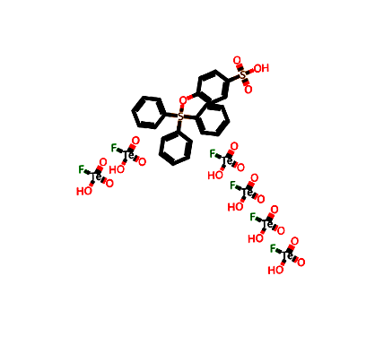 O=S(=O)(O)c1ccc(OS(c2ccccc2)(c2ccccc2)c2ccccc2)cc1.O=[Te](=O)(O)F.O=[Te](=O)(O)F.O=[Te](=O)(O)F.O=[Te](=O)(O)F.O=[Te](=O)(O)F.O=[Te](=O)(O)F